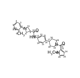 Cc1ncccc1N1CC(C(=O)Nc2ccc(C3CCN(C(=O)c4cccn4C)CC3)cc2)C1